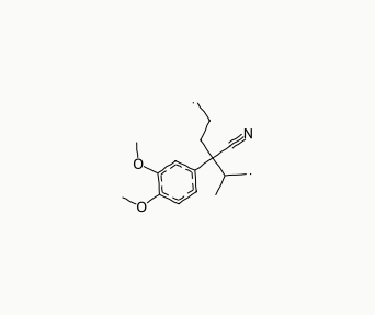 [CH2]CCC(C#N)(c1ccc(OC)c(OC)c1)C([CH2])C